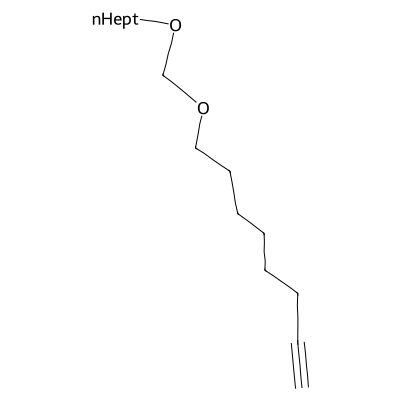 C#CCCCCCCOCOCCCCCCC